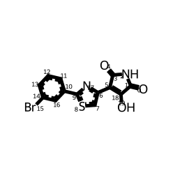 O=C1NC(=O)C(c2csc(-c3cccc(Br)c3)n2)=C1O